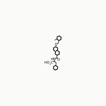 Cc1ccccc1COc1ccc2cc(C(=O)N[C@@H](Cc3ccccc3)C(=O)O)ccc2c1